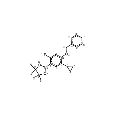 CC1(C)OB(c2cc(C3CC3)c(OCc3ccccc3)cc2F)OC1(C)C